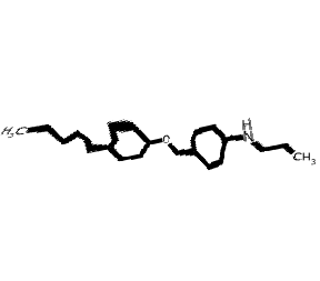 CCCCCC1CCC(OCC2CCC(NCCC)CC2)CC1